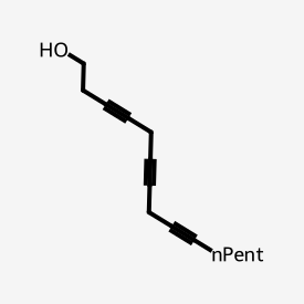 CCCCCC#CCC#CCC#CCCO